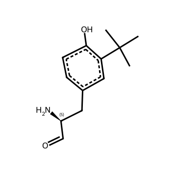 CC(C)(C)c1cc(C[C@H](N)C=O)ccc1O